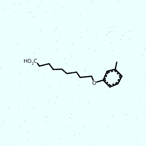 Cc1cccc(OCCCCCCCCC(=O)O)c1